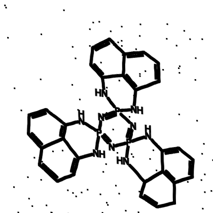 C1=CC2NP3(=NP4(=NP5(=N3)Nc3cccc6cccc(c36)N5)Nc3cccc5cccc(c35)N4)Nc3cccc(c32)C1